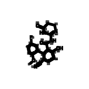 COc1ccc(F)cc1-c1c(C#N)ccc(O)c1C(=O)NC1=NCCC(=O)N1